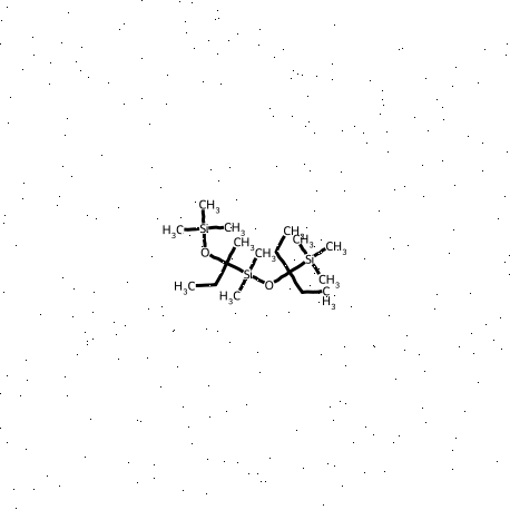 CCC(CC)(O[Si](C)(C)C(C)(CC)O[Si](C)(C)C)[Si](C)(C)C